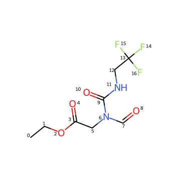 CCOC(=O)CN(C=O)C(=O)NCC(F)(F)F